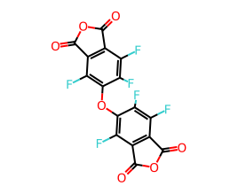 O=C1OC(=O)c2c(F)c(Oc3c(F)c(F)c4c(c3F)C(=O)OC4=O)c(F)c(F)c21